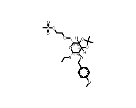 CCS[C@@H]1O[C@H](COCCOS(C)(=O)=O)[C@@H]2OC(C)(C)O[C@@H]2[C@H]1OCc1ccc(OC)cc1